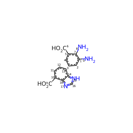 Nc1cccc(C(=O)O)c1N.O=C(O)c1cccc2[nH]cnc12